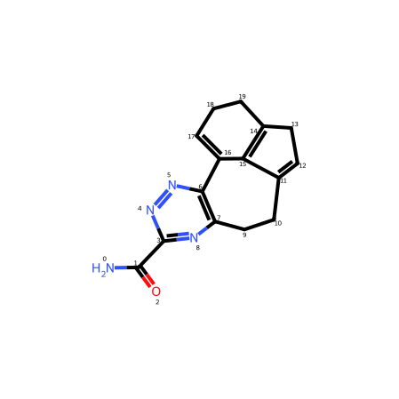 NC(=O)c1nnc2c(n1)CCC1=CCC3=C1C2=CCC3